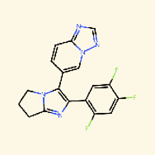 Fc1cc(F)c(-c2nc3n(c2-c2ccc4ncnn4c2)CCC3)cc1F